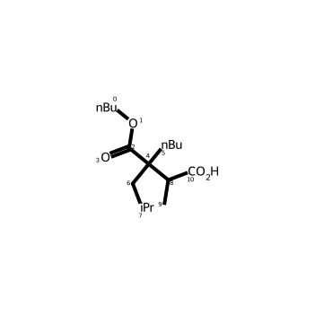 CCCCOC(=O)C(CCCC)(CC(C)C)C(C)C(=O)O